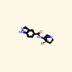 O=C(NC1CN2CC[C@H]1C2)c1ccc2[nH]ncc2c1